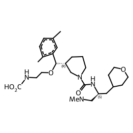 CNC[C@H](CC1CCOCC1)NC(=O)N1CCC[C@@H](C(OCCNC(=O)O)c2cc(C)ccc2C)C1